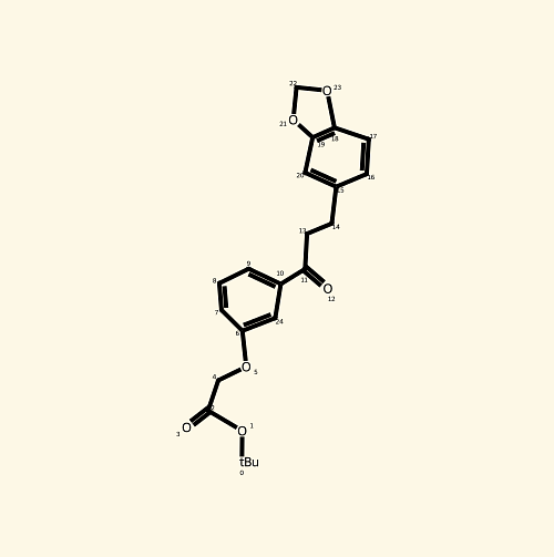 CC(C)(C)OC(=O)COc1cccc(C(=O)CCc2ccc3c(c2)OCO3)c1